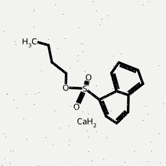 CCCCOS(=O)(=O)c1cccc2ccccc12.[CaH2]